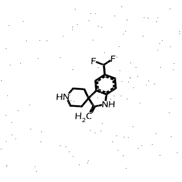 C=C1Nc2ccc(C(F)F)cc2C12CCNCC2